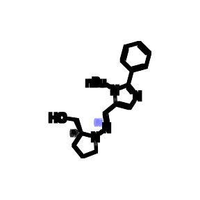 CCCCn1c(/C=N/N2CCC[C@H]2CO)cnc1-c1ccccc1